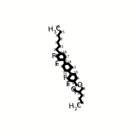 C=CCCC1COC(c2ccc(-c3ccc(-c4ccc(CCCCCCC)c(F)c4F)cc3)c(F)c2F)OC1